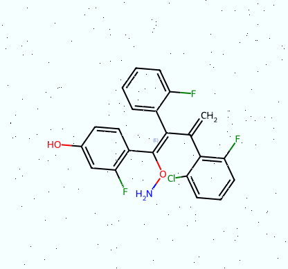 C=C(/C(=C(\ON)c1ccc(O)cc1F)c1ccccc1F)c1c(F)cccc1Cl